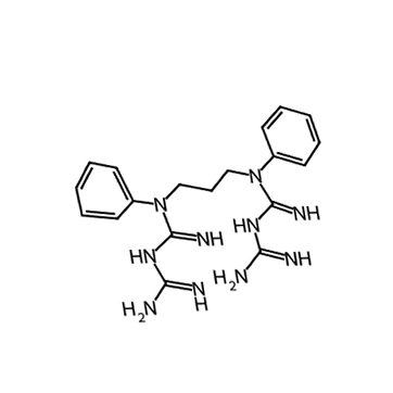 N=C(N)NC(=N)N(CCCN(C(=N)NC(=N)N)c1ccccc1)c1ccccc1